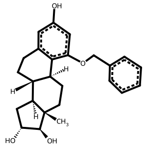 C[C@]12CC[C@@H]3c4c(cc(O)cc4OCc4ccccc4)CC[C@H]3[C@@H]1C[C@@H](O)[C@@H]2O